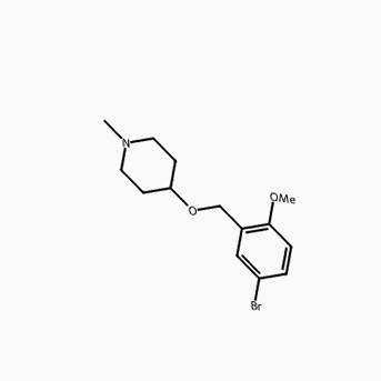 COc1ccc(Br)cc1COC1CCN(C)CC1